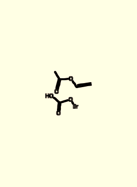 C=COC(C)=O.O=C(O)OBr